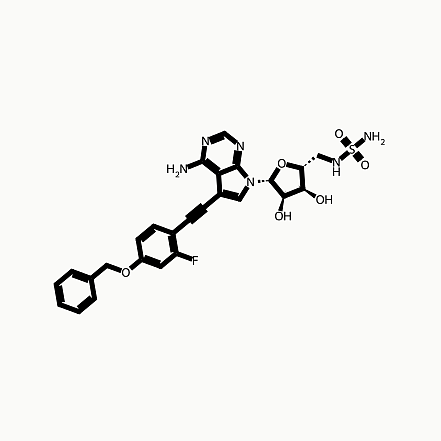 Nc1ncnc2c1c(C#Cc1ccc(OCc3ccccc3)cc1F)cn2[C@@H]1O[C@H](CNS(N)(=O)=O)[C@@H](O)[C@H]1O